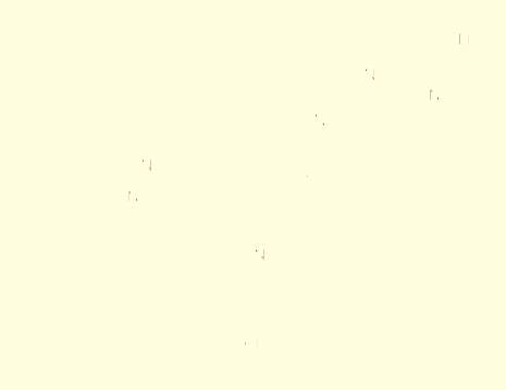 Cc1ccc(-c2cc(OC(=O)NCc3cnc(C)cn3)cc3c2cnn3Cc2ccccc2)nc1